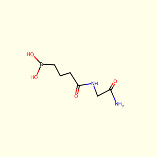 NC(=O)CNC(=O)CCCB(O)O